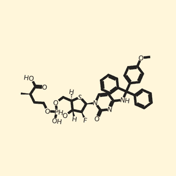 COc1ccc(C(Nc2ccn([C@@H]3S[C@@H]4CO[PH](O)(OCC[C@@H](C)C(=O)O)O[C@H]4[C@@H]3F)c(=O)n2)(c2ccccc2)c2ccccc2)cc1